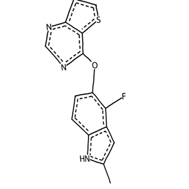 Cc1cc2c(F)c(Oc3ncnc4ccsc34)ccc2[nH]1